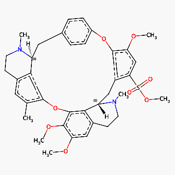 COc1cc(S(=O)(=O)OC)c2cc1Oc1ccc(cc1)C[C@H]1c3cc(c(C)cc3CCN1C)Oc1c(OC)c(OC)cc3c1[C@H](C2)N(C)CC3